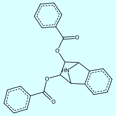 O=C(OC1C2NC(c3ccccc32)C1OC(=O)c1ccccc1)c1ccccc1